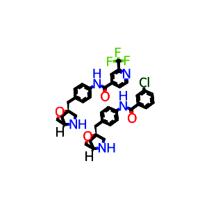 O=C(Nc1ccc(C[C@]23CN[C@H](CO2)C3)cc1)c1cccc(Cl)c1.O=C(Nc1ccc(C[C@]23CN[C@H](CO2)C3)cc1)c1ccnc(C(F)(F)F)c1